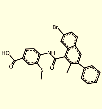 CSc1cc(C(=O)O)ccc1NC(=O)c1c(C)c(-c2ccccc2)cc2ccc(Br)cc12